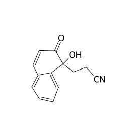 N#CCCC1(O)C(=O)C=Cc2ccccc21